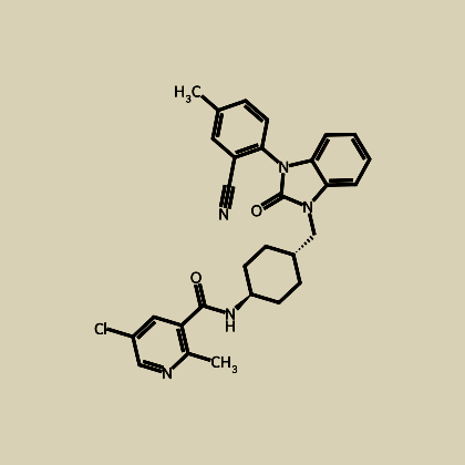 Cc1ccc(-n2c(=O)n(C[C@H]3CC[C@H](NC(=O)c4cc(Cl)cnc4C)CC3)c3ccccc32)c(C#N)c1